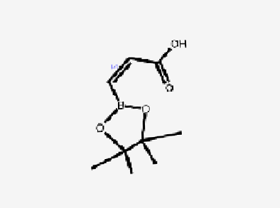 CC1(C)OB(/C=C\C(=O)O)OC1(C)C